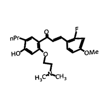 CCCc1cc(C(=O)/C=C/c2ccc(OC)cc2F)c(OCCN(C)C)cc1O